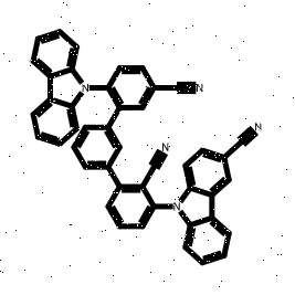 N#Cc1ccc(-n2c3ccccc3c3ccccc32)c(-c2cccc(-c3cccc(-n4c5ccccc5c5cc(C#N)ccc54)c3C#N)c2)c1